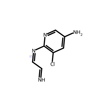 N=C/C=N\c1ncc(N)cc1Cl